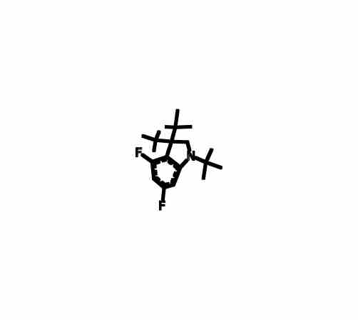 CC(C)(C)N1CC(C(C)(C)C)(C(C)(C)C)c2c(F)cc(F)cc21